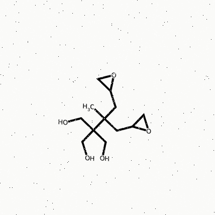 CC(CC1CO1)(CC1CO1)C(CO)(CO)CO